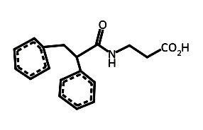 O=C(O)CCNC(=O)C(Cc1ccccc1)c1ccccc1